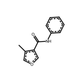 Cc1cocc1C(=O)Nc1ccccc1